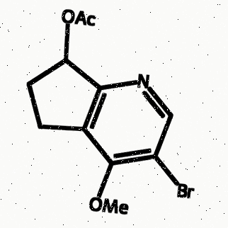 COc1c(Br)cnc2c1CCC2OC(C)=O